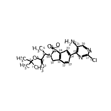 C[C@H](C(=O)OC(C)(C)C)N1Cc2ccc(-c3nc(Cl)ncc3N)cc2S1(=O)=O